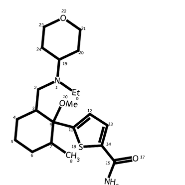 CCN(CC1CCCC(C)C1(OC)c1ccc(C(N)=O)s1)C1CCOCC1